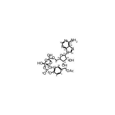 CC(=O)OCc1ccc(OP(=O)(O)OP(=O)(O)OP(=O)(O)OC[C@H]2O[C@@H](n3cnc4c(N)ncnc43)[C@H](O)[C@@H]2O)cc1